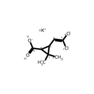 CC1(C)C(C=C(Cl)Cl)C1C(=O)[O-].[K+]